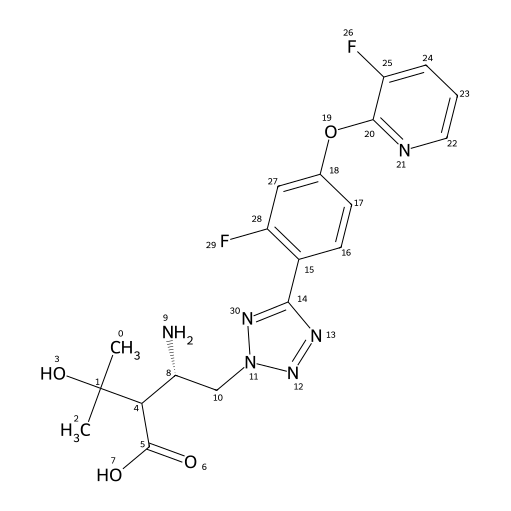 CC(C)(O)C(C(=O)O)[C@H](N)Cn1nnc(-c2ccc(Oc3ncccc3F)cc2F)n1